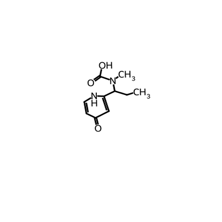 CCC(c1cc(=O)cc[nH]1)N(C)C(=O)O